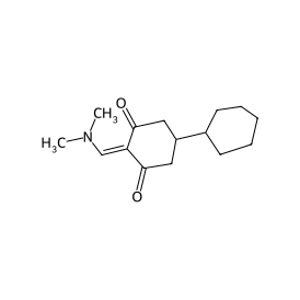 CN(C)C=C1C(=O)CC(C2CCCCC2)CC1=O